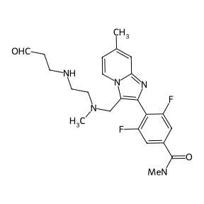 CNC(=O)c1cc(F)c(-c2nc3cc(C)ccn3c2CN(C)CCNCCC=O)c(F)c1